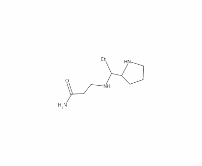 CCC(NCCC(N)=O)C1CCCN1